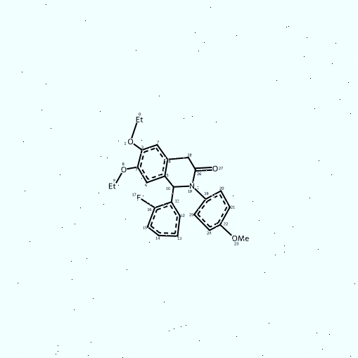 CCOc1cc2c(cc1OCC)C(c1ccccc1F)N(c1ccc(OC)cc1)C(=O)C2